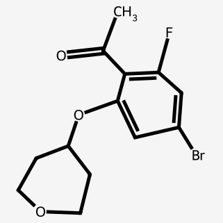 CC(=O)c1c(F)cc(Br)cc1OC1CCOCC1